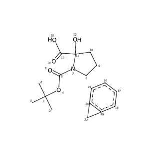 CC(C)(C)OC(=O)N1CCCC1(O)C(=O)O.c1ccc2c(c1)C2